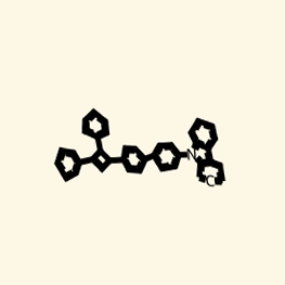 C1=C(c2ccccc2)C(c2ccccc2)C1c1ccc(-c2ccc(-n3c4ccccc4c4ccccc43)cc2)cc1